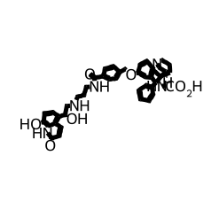 O=C(O)NC(c1ccccc1)(c1cccc(OCc2ccc(C(=O)NCCCNC[C@H](O)c3ccc(O)c4[nH]c(=O)ccc34)cc2)c1)[C@H]1CN2CCC1CC2